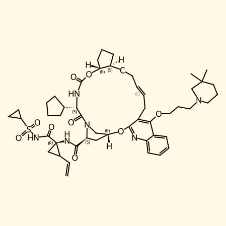 C=CC1C[C@]1(NC(=O)[C@@H]1C[C@@H]2CN1C(=O)[C@H](C1CCCC1)NC(=O)O[C@@H]1CCC[C@H]1CC/C=C/Cc1c(nc3ccccc3c1OCCCN1CCCC(C)(C)C1)O2)C(=O)NS(=O)(=O)C1CC1